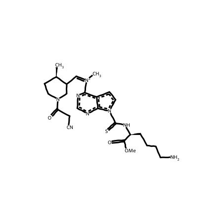 COC(=O)[C@H](CCCCN)NC(=S)n1ccc2c(/[N+](C)=C\C3CN(C(=O)CC#N)CC[C@H]3C)ncnc21